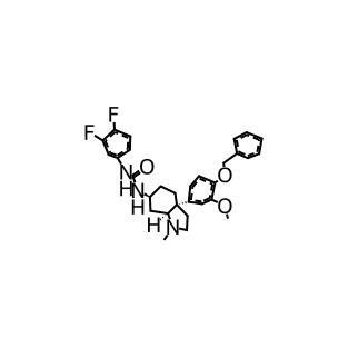 COc1cc([C@@]23CC[C@H](NC(=O)Nc4ccc(F)c(F)c4)C[C@@H]2N(C)CC3)ccc1OCc1ccccc1